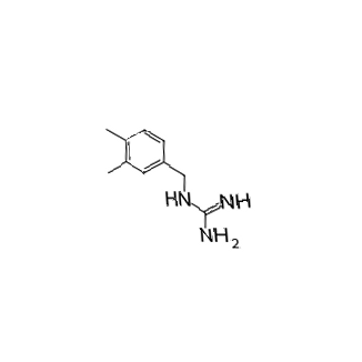 Cc1ccc(CNC(=N)N)cc1C